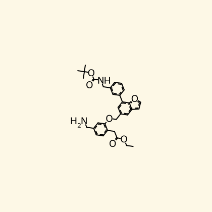 CCOC(=O)Cc1ccc(CN)cc1OCc1cc(-c2cccc(CNC(=O)OC(C)(C)C)c2)c2occc2c1